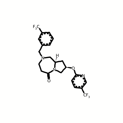 O=C1CCN(Cc2cccc(C(F)(F)F)c2)C[C@H]2C[C@@H](Oc3ccc(C(F)(F)F)cn3)CN12